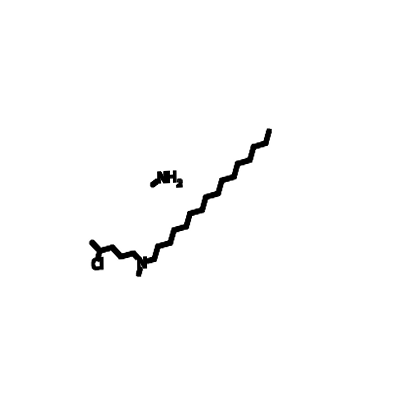 CCCCCCCCCCCCCCCCN(C)CCCC(C)Cl.CN